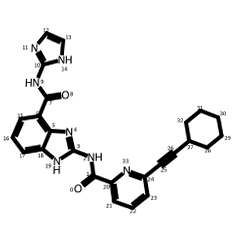 O=C(Nc1nc2c(C(=O)Nc3ncc[nH]3)cccc2[nH]1)c1cccc(C#CC2CCCCC2)n1